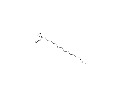 CCCCCCCCCCCCCCC1(C=S)CC1